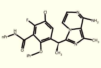 CCCNC(=O)c1c(F)c(Cl)cc([C@H](C)c2nc(C)c3c(N)nccn23)c1OC(C)C